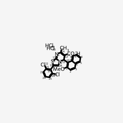 COc1ccc2ccccc2c1C1C(C(=O)O)=C(C)N=C2SC(c3c(Cl)cccc3Cl)=CN21.Cl.Cl